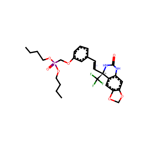 CCCCOP(=O)(COc1cccc(/C=C/[C@]2(C(F)(F)F)NC(=O)Nc3cc4c(cc32)OCO4)c1)OCCCC